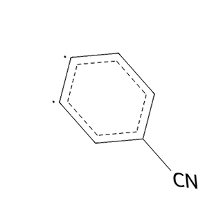 N#Cc1c[c][c]cc1